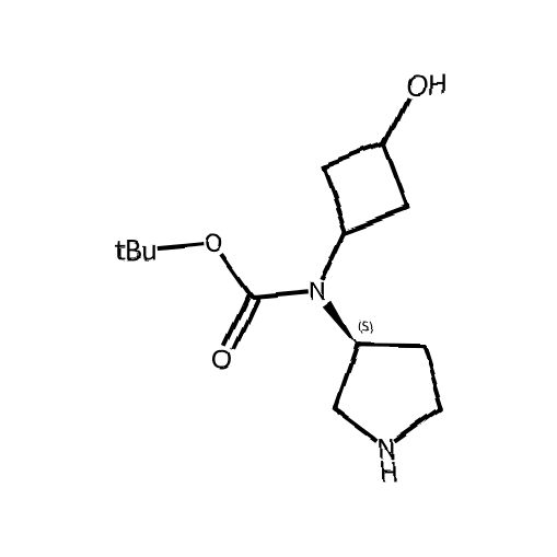 CC(C)(C)OC(=O)N(C1CC(O)C1)[C@H]1CCNC1